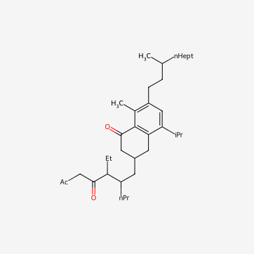 CCCCCCCC(C)CCc1cc(C(C)C)c2c(c1C)C(=O)CC(CC(CCC)C(CC)C(=O)CC(C)=O)C2